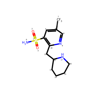 NS(=O)(=O)c1cc(C(F)(F)F)cnc1CC1CCCCN1